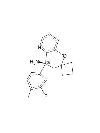 Cc1ccc([C@@]2(N)CC3(CCC3)Oc3cccnc32)cc1F